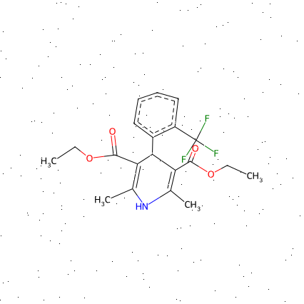 CCOC(=O)C1=C(C)NC(C)=C(C(=O)OCC)C1c1ccccc1C(F)(F)F